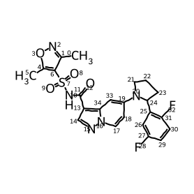 Cc1noc(C)c1S(=O)(=O)NC(=O)c1cnn2ccc(N3CCCC3c3cc(F)ccc3F)cc12